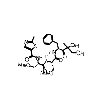 COC[C@H](NC(=O)c1cnc(C)s1)C(=O)N[C@@H](COC)C(=O)NC(Cc1ccccc1)C(=O)C(C)(O)CO